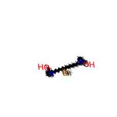 C[N+]1(CCCCCCCCCCCCCCCC[N+]2(C)CCCC2CO)CCCC1CO.[Br-].[Br-]